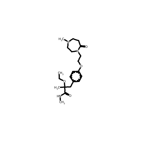 CCOC(C)(Cc1ccc(OCCN2CCN(C)CCC2=O)cc1)C(=O)NC